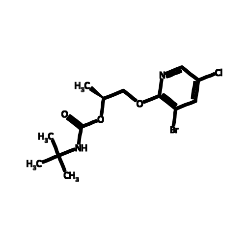 C[C@@H](COc1ncc(Cl)cc1Br)OC(=O)NC(C)(C)C